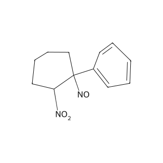 O=NC1(c2ccccc2)CCCCC1[N+](=O)[O-]